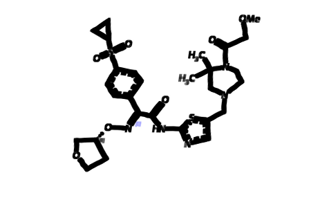 COCC(=O)N1CCN(Cc2cnc(NC(=O)/C(=N/O[C@@H]3CCOC3)c3ccc(S(=O)(=O)C4CC4)cc3)s2)CC1(C)C